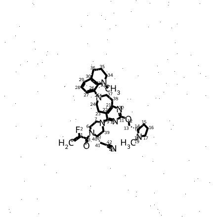 C=C(F)C(=O)N1CCN(c2nc(OC[C@@H]3CCCN3C)nc3c2CCN(c2cccc4c2N(C)CCC4)CC3)C[C@@H]1CC#N